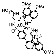 COc1ccc(CN(Cc2ccc(OC)cc2)S(=O)(=O)c2c(S(=O)(=O)N[C@H](CO)CNC(=O)O)ccc(-c3cccc4sc(N)nc34)c2-c2nnnn2Cc2ccc(OC)cc2)cc1